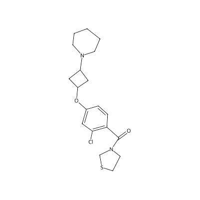 O=C(c1ccc(OC2CC(N3CCCCC3)C2)cc1Cl)N1CCSC1